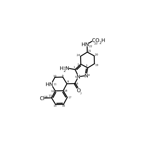 Nc1c2c(nn1C(=O)C1CCNc3c(Cl)cccc31)CCC(NC(=O)O)C2